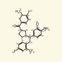 CC1CC(C(=O)N2CC[C@H](N(Cc3ccc(F)cc3C(F)(F)F)c3ccc(N)c(Cl)c3)C2)=CC=C1F